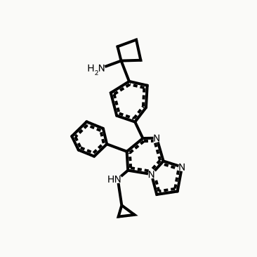 NC1(c2ccc(-c3nc4nccn4c(NC4CC4)c3-c3ccccc3)cc2)CCC1